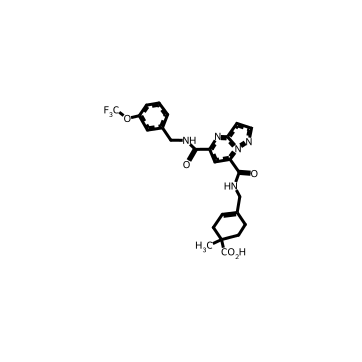 CC1(C(=O)O)CC=C(CNC(=O)c2cc(C(=O)NCc3cccc(OC(F)(F)F)c3)nc3ccnn23)CC1